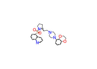 O=S(=O)(c1cccc2ncccc12)N1CCC[C@H]1CCN1CCN(c2cccc3c2OCCO3)CC1